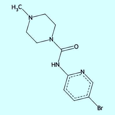 CN1CCN(C(=O)Nc2ccc(Br)cn2)CC1